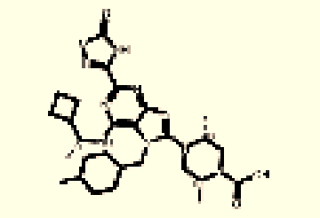 CC1CCC(Cn2c(N3C[C@H](C)N(C(=O)O)C[C@H]3C)nc3nc(-c4noc(=O)[nH]4)nc(N[C@H](C)C4CCC4)c32)CC1